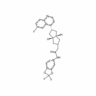 O=C(CC1C[C@@H]2C[C@H](c3ccnc4ccc(F)cc34)C[C@@H]2C1)Nc1ccc2c(c1)OC(F)(F)O2